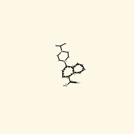 CC(C)N1CCN(c2ccc(C(=O)O)c3ccccc23)CC1